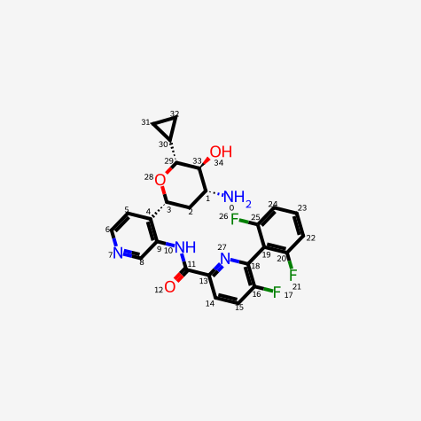 N[C@@H]1C[C@H](c2ccncc2NC(=O)c2ccc(F)c(-c3c(F)cccc3F)n2)O[C@H](C2CC2)[C@H]1O